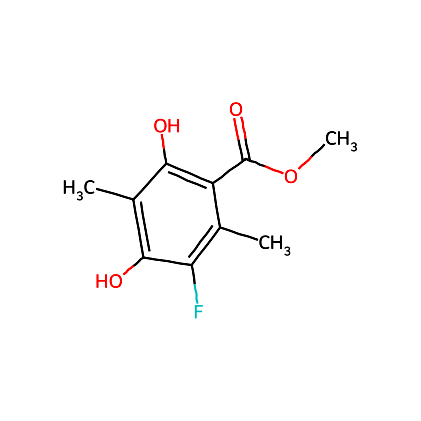 COC(=O)c1c(C)c(F)c(O)c(C)c1O